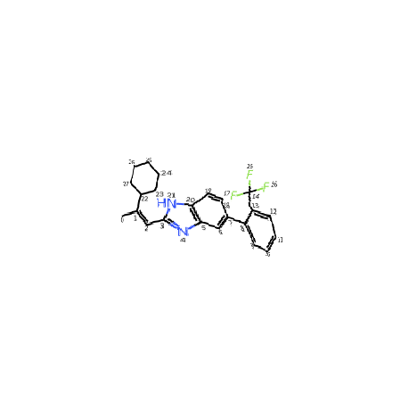 C/C(=C/c1nc2cc(-c3ccccc3C(F)(F)F)ccc2[nH]1)C1CCCCC1